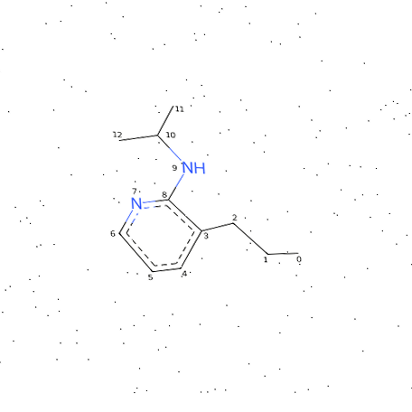 CCCc1cccnc1NC(C)C